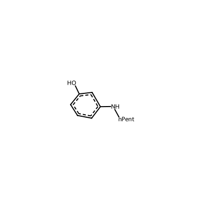 [CH2]CCCCNc1cccc(O)c1